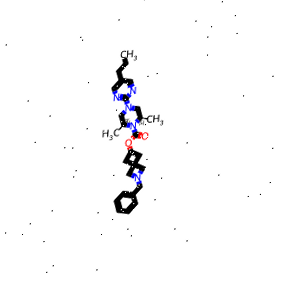 CCCc1cnc(N2C[C@@H](C)N(C(=O)OC3CC4(C3)CN(Cc3ccccc3)C4)[C@@H](C)C2)nc1